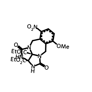 CCOC(=O)[C@@]12NC(=O)N3Cc4c(OC)ccc([N+](=O)[O-])c4CN(C(=O)N1)[C@]32C(=O)OCC